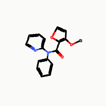 CCOc1ccoc1C(=O)N(c1ccccc1)c1ccccn1